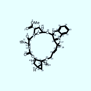 COC(=O)[C@@H]1C[C@@H]2CN1C(=O)[C@H](C(C)(C)C)NC(=O)O[C@@H]1C[C@@H]3C[C@@H]3[C@H]1CC/C=C/C(F)(F)c1nc3ccccc3nc1O2